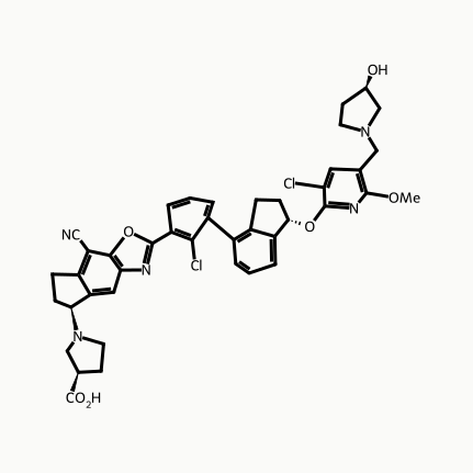 COc1nc(O[C@H]2CCc3c(-c4cccc(-c5nc6cc7c(c(C#N)c6o5)CC[C@@H]7N5CC[C@@H](C(=O)O)C5)c4Cl)cccc32)c(Cl)cc1CN1CC[C@@H](O)C1